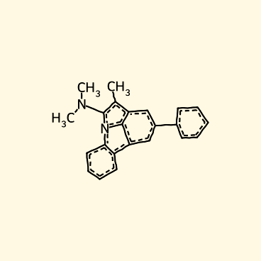 Cc1c(N(C)C)n2c3ccccc3c3cc(-c4ccccc4)cc1c32